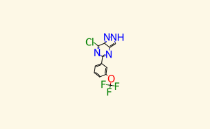 FC(F)(F)Oc1cccc(-c2nc(Cl)c3n[nH]cc3n2)c1